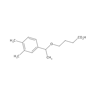 Cc1ccc(C(C)OCCCC(=O)O)cc1C